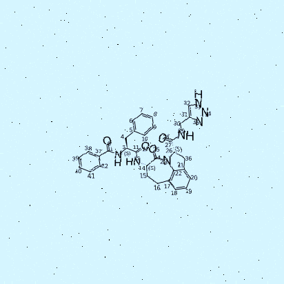 O=C(N[C@@H](Cc1ccccc1)C(=O)N[C@H]1CCc2cccc3c2N(C1=O)[C@H](C(=O)NCc1c[nH]nn1)C3)c1ccccc1